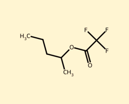 CCCC(C)OC(=O)C(F)(F)F